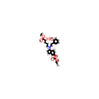 CCOC(=O)CCCCN(CCc1ccccc1O)C1CCc2cc(OC(=O)OCC)ccc21